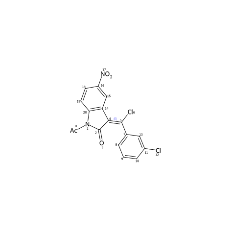 CC(=O)N1C(=O)/C(=C(/Cl)c2cccc(Cl)c2)c2cc([N+](=O)[O-])ccc21